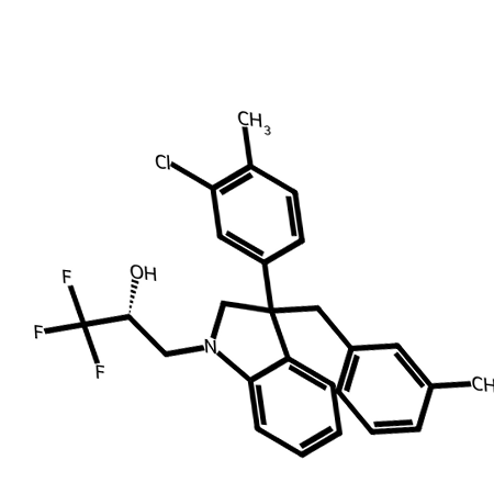 Cc1cccc(CC2(c3ccc(C)c(Cl)c3)CN(C[C@@H](O)C(F)(F)F)c3ccccc32)c1